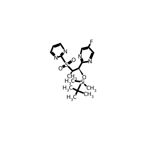 C[C@H]([C@H](O[Si](C)(C)C(C)(C)C)c1ncc(F)cn1)S(=O)(=O)c1ncccn1